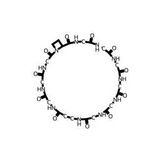 O=C1CCNC(=O)CNC(=O)CNC(=O)CNC(=O)CNC(=O)CNC(=O)CNC(=O)C2CCN2C(=O)CNC(=O)CNC(=O)CN1